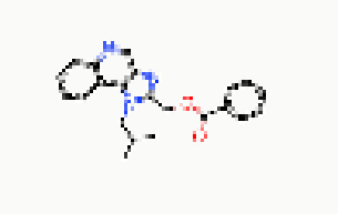 CC(C)Cn1c(COC(=O)c2ccccc2)nc2cnc3ccccc3c21